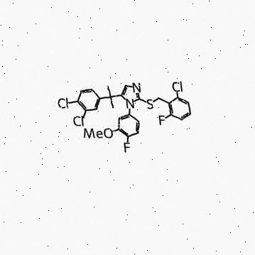 COc1cc(-n2c(C(C)(C)c3ccc(Cl)c(Cl)c3)cnc2SCc2c(F)cccc2Cl)ccc1F